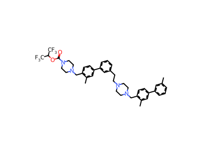 Cc1cccc(-c2ccc(CN3CCN(CCc4cccc(-c5ccc(CN6CCN(C(=O)OC(C(F)(F)F)C(F)(F)F)CC6)c(C)c5)c4)CC3)c(C)c2)c1